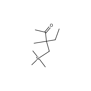 CCC(C)(C[Si](C)(C)C)C(C)=O